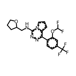 FC(F)Oc1cc(C(F)(F)F)ccc1-c1nnc(NCC2CCCO2)n2cccc12